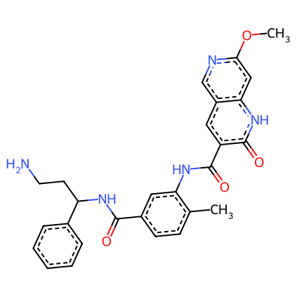 COc1cc2[nH]c(=O)c(C(=O)Nc3cc(C(=O)NC(CCN)c4ccccc4)ccc3C)cc2cn1